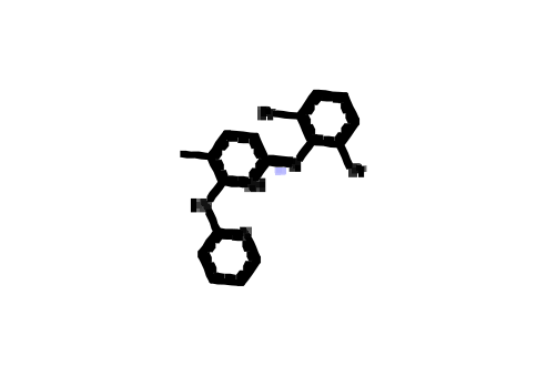 Cc1cc/c(=N\c2c(C(C)C)cccc2C(C)C)[nH]c1Nc1ccccn1